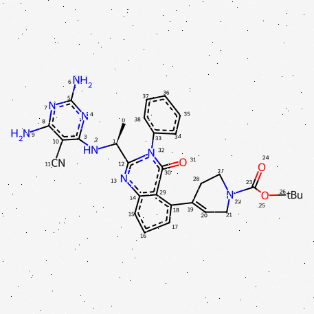 C[C@H](Nc1nc(N)nc(N)c1C#N)c1nc2cccc(C3=CCN(C(=O)OC(C)(C)C)CC3)c2c(=O)n1-c1ccccc1